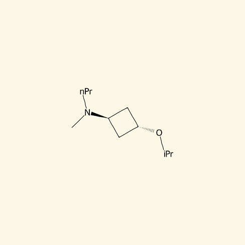 CCCN(C)[C@H]1C[C@H](OC(C)C)C1